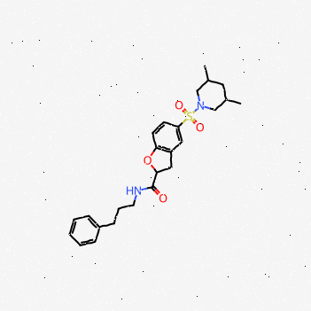 CC1CC(C)CN(S(=O)(=O)c2ccc3c(c2)CC(C(=O)NCCCc2ccccc2)O3)C1